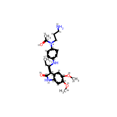 CCC(Nc1ccc(N(CCCN)C(C)=O)cc1)=C1C(=O)Nc2cc(OC)c(OC)cc21